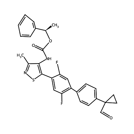 Cc1nsc(-c2cc(F)c(-c3ccc(C4(C=O)CC4)cc3)cc2F)c1NC(=O)O[C@H](C)c1ccccc1